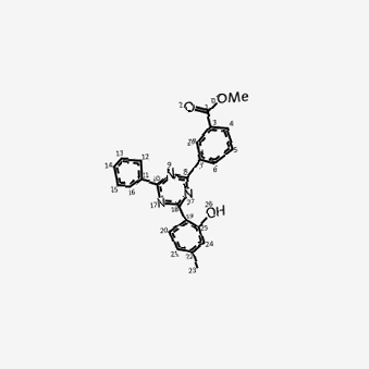 COC(=O)c1cccc(-c2nc(-c3ccccc3)nc(-c3ccc(C)cc3O)n2)c1